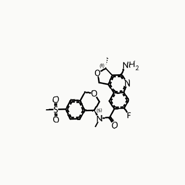 C[C@H]1OCc2c1c(N)nc1cc(F)c(C(=O)N(C)[C@@H]3COCc4cc(S(C)(=O)=O)ccc43)cc21